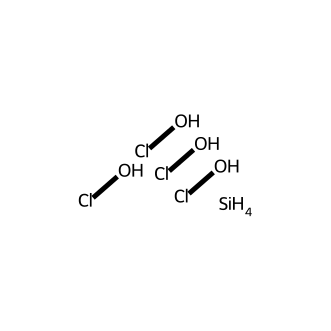 OCl.OCl.OCl.OCl.[SiH4]